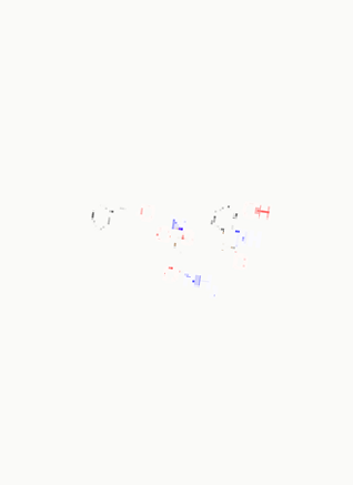 NC(=O)CCS(=O)(=O)N(CCOCCc1ccccc1)CCc1ccc(O)c2[nH]c(=O)sc12